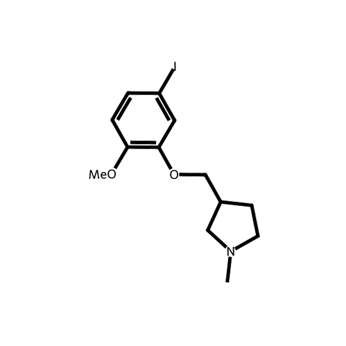 COc1ccc(I)cc1OCC1CCN(C)C1